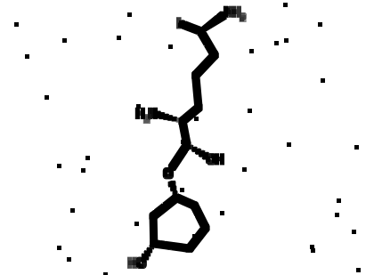 N[C@H](I)CCC[C@@H](N)[C@H](O)O[C@@H]1CCC[C@H](O)C1